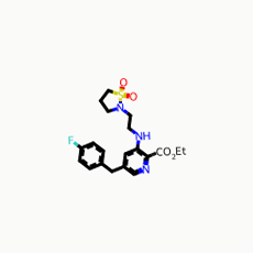 CCOC(=O)c1ncc(Cc2ccc(F)cc2)cc1NCCN1CCCS1(=O)=O